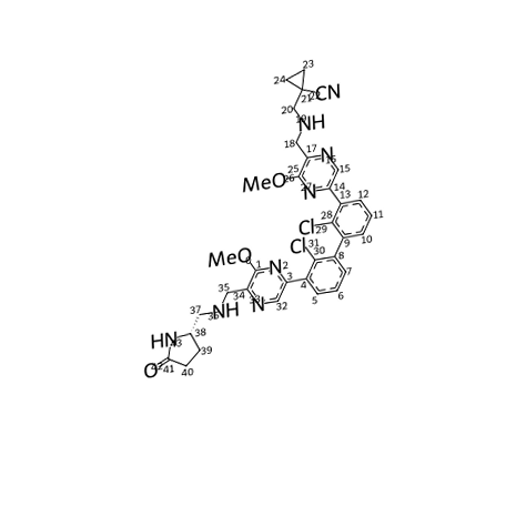 COc1nc(-c2cccc(-c3cccc(-c4cnc(CNCC5(C#N)CC5)c(OC)n4)c3Cl)c2Cl)cnc1CNC[C@@H]1CCC(=O)N1